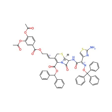 CC(=O)Oc1ccc(C(=O)OC/C=C/C2=C(C(=O)OC(c3ccccc3)c3ccccc3)N3C(=O)C(NC(=O)/C(=N\OC(c4ccccc4)(c4ccccc4)c4ccccc4)c4csc(N)n4)[C@@H]3SC2)cc1OC(C)=O